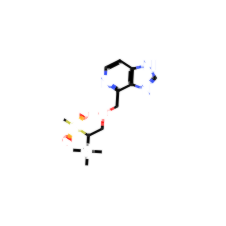 C[Si](C)(C)C(COCc1nccc2[nH]cnc12)S(C)(=O)=O